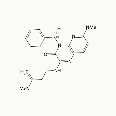 C=C(CCNc1nc2ccc(NC)nc2n([C@@H](CC)c2ccccc2)c1=O)NC